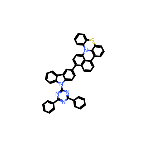 c1ccc(-c2nc(-c3ccccc3)nc(-n3c4ccccc4c4cc(-c5ccc6c7c5cccc7c5cccc7sc8ccccc8n6-c75)ccc43)n2)cc1